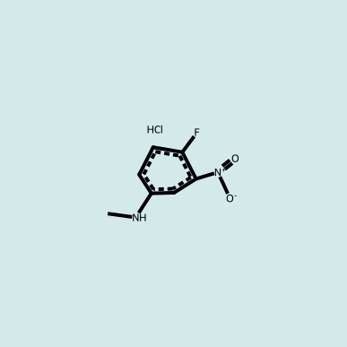 CNc1ccc(F)c([N+](=O)[O-])c1.Cl